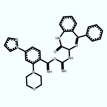 N=C(NC1N=C(c2ccccc2)c2ccccc2NC1=O)OC(=N)c1ccc(-n2cccn2)cc1N1CCOCC1